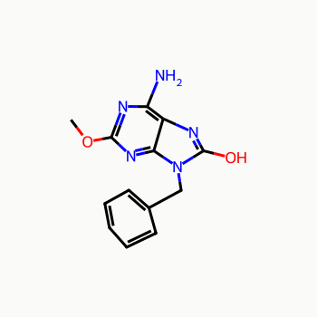 COc1nc(N)c2nc(O)n(Cc3ccccc3)c2n1